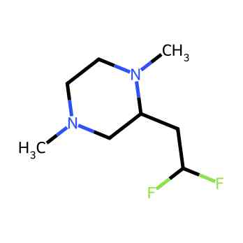 CN1CCN(C)C(CC(F)F)C1